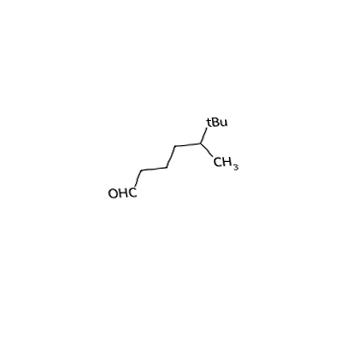 CC(CCCC=O)C(C)(C)C